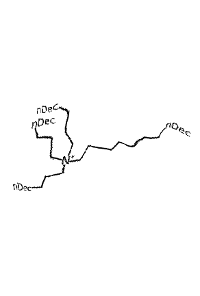 CCCCCCCCCCCCCCCCC[N+](CCCCCCCCCCCCC)(CCCCCCCCCCCCC)CCCCCCCCCCCCC